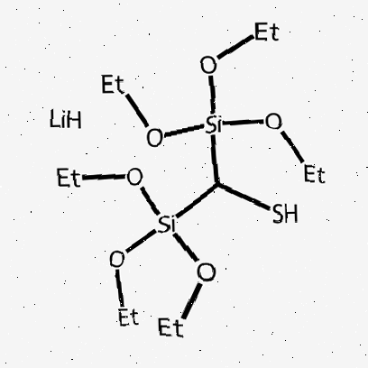 CCO[Si](OCC)(OCC)C(S)[Si](OCC)(OCC)OCC.[LiH]